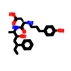 CCC(CC(O)C(C)NC(=O)[C@H](CC(=O)O)NCCCc1ccc(O)cc1)c1ccccc1